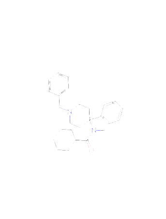 CN(C(=O)C1CCCCC1)C1(c2ccccc2)CCN(Cc2ccccc2)CC1